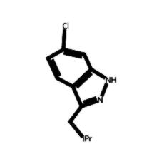 CC(C)Cc1n[nH]c2cc(Cl)ccc12